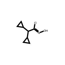 O/N=C(\Cl)C(C1CC1)C1CC1